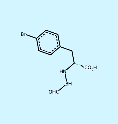 O=CBN[C@H](Cc1ccc(Br)cc1)C(=O)O